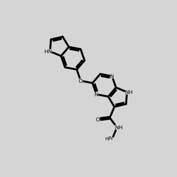 CCCNC(=O)c1c[nH]c2ncc(Oc3ccc4cc[nH]c4c3)nc12